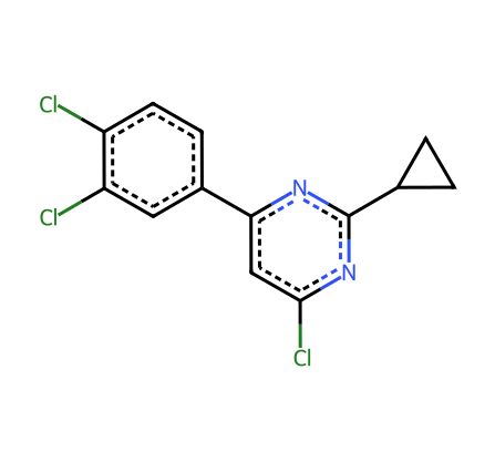 Clc1cc(-c2ccc(Cl)c(Cl)c2)nc(C2CC2)n1